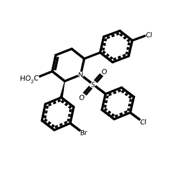 O=C(O)C1=CCC(c2ccc(Cl)cc2)N(S(=O)(=O)c2ccc(Cl)cc2)[C@H]1c1cccc(Br)c1